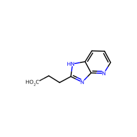 O=C(O)CCc1nc2ncccc2[nH]1